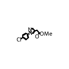 COC(=O)Cc1cnn(-c2ccc(Cl)cc2)c1